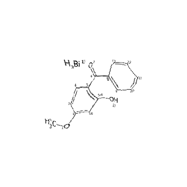 COc1ccc(C(=O)c2ccccc2)c(O)c1.[BiH3]